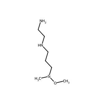 CO[Si](C)CCCNCCN